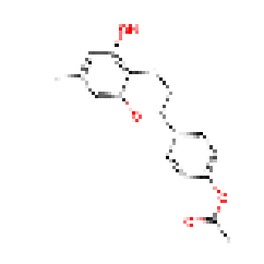 CC(=O)Oc1ccc(C2CCc3c(O)cc(C)cc3O2)cc1